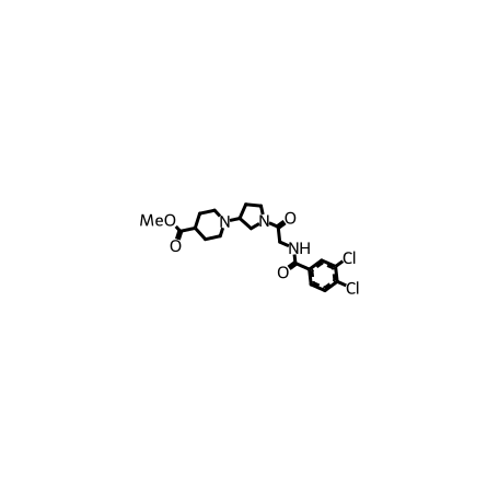 COC(=O)C1CCN(C2CCN(C(=O)CNC(=O)c3ccc(Cl)c(Cl)c3)C2)CC1